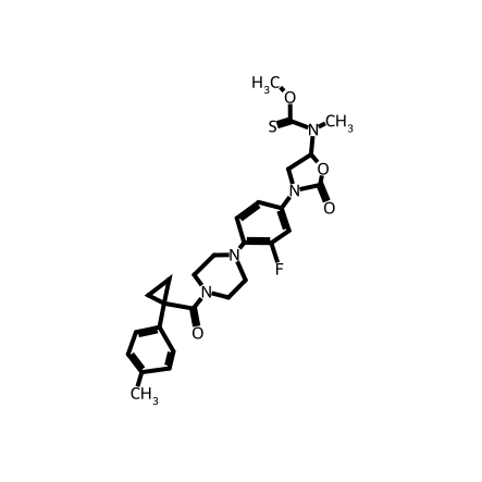 COC(=S)N(C)C1CN(c2ccc(N3CCN(C(=O)C4(c5ccc(C)cc5)CC4)CC3)c(F)c2)C(=O)O1